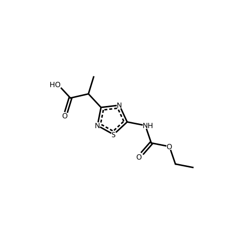 CCOC(=O)Nc1nc(C(C)C(=O)O)ns1